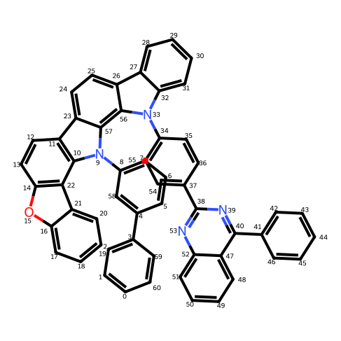 c1ccc(-c2cccc(-n3c4c(ccc5oc6ccccc6c54)c4ccc5c6ccccc6n(-c6ccc(-c7nc(-c8ccccc8)c8ccccc8n7)cc6)c5c43)c2)cc1